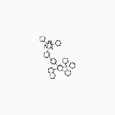 c1ccc(-c2nc(-c3ccccc3)nc(-c3cccc(-c4ccc(-c5cc6c(cc5-c5cccc7ccccc57)-c5ccccc5C6(c5ccccc5)c5ccccc5)cc4)c3)n2)cc1